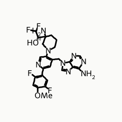 COc1cc(F)c(-c2cc(Cn3cnc4c(N)ncnc43)c(N3CCCC(N)([C@H](O)C(F)F)C3)cn2)cc1F